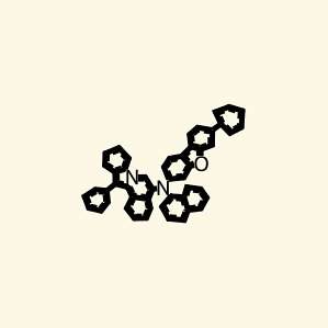 c1ccc(-c2ccc3c(c2)oc2cc(N(c4cccc5ccccc45)c4cn5c6ccccc6c(-c6ccccc6)c5c5ccccc45)ccc23)cc1